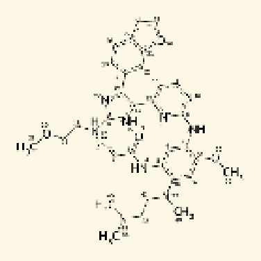 C=CC(=O)Nc1cc(Nc2nccc(-c3[nH]c(NCCOC)nc3-c3ccc4ccoc4c3)n2)c(OC)cc1N(C)CCN(C)C